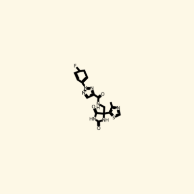 Cc1ncsc1C1(CNC(=O)c2cnn(C3=CCC(F)C=C3)n2)NC(=O)NC1=O